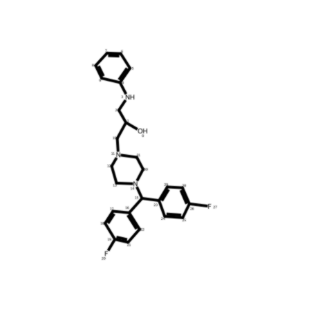 OC(CNc1ccccc1)CN1CCN(C(c2ccc(F)cc2)c2ccc(F)cc2)CC1